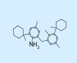 Cc1cc(Cc2cc(C)cc(C3(C)CCCCC3)c2N)c(C)c(C2(C)CCCCC2)c1